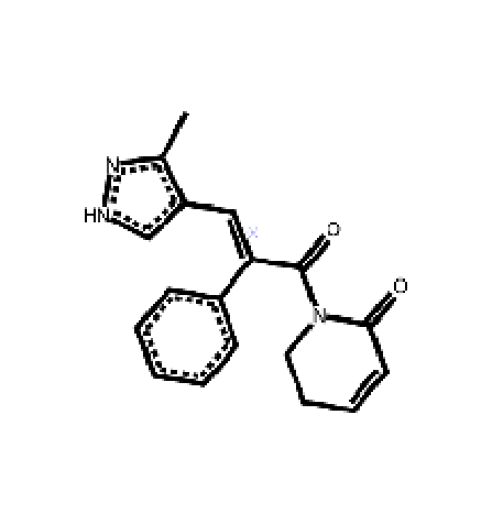 Cc1n[nH]cc1/C=C(/C(=O)N1CCC=CC1=O)c1ccccc1